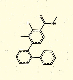 CNC(=O)c1ccc(-c2ccccc2-c2ccccc2)c(C)c1Cl